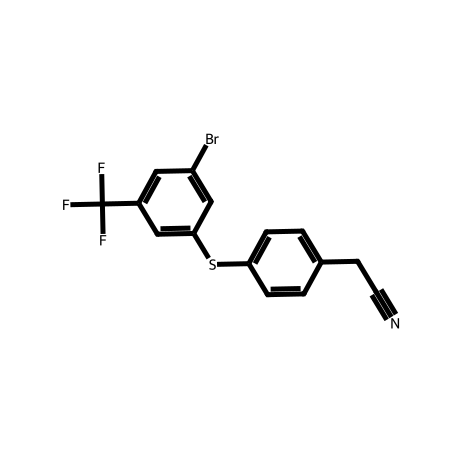 N#CCc1ccc(Sc2cc(Br)cc(C(F)(F)F)c2)cc1